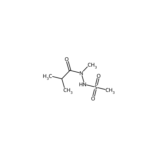 CC(C)C(=O)N(C)NS(C)(=O)=O